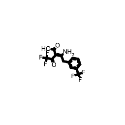 N/C(Cc1cccc(C(F)(F)F)c1)=C(\C(=O)O)C(=O)C(F)(F)F